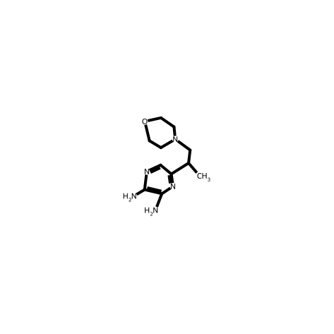 CC(CN1CCOCC1)c1cnc(N)c(N)n1